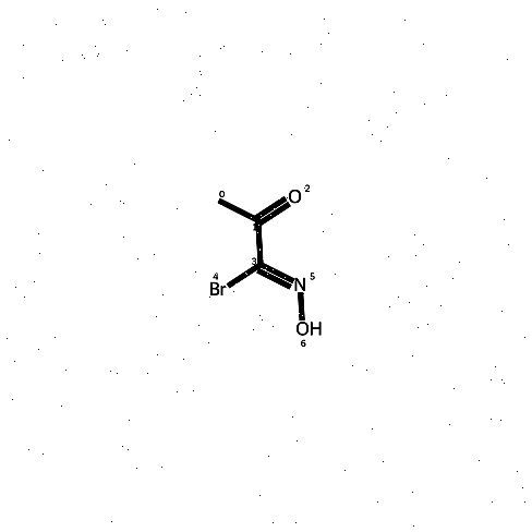 CC(=O)C(Br)=NO